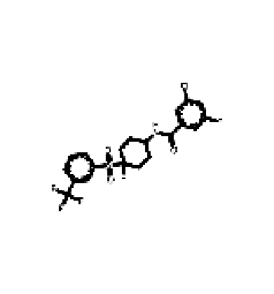 O=C(NC1CCC(F)(S(=O)(=O)c2cccc(C(F)(F)F)c2)CC1)c1cc(F)cc(Cl)c1